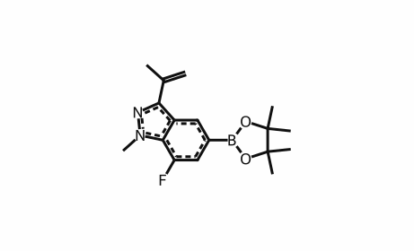 C=C(C)c1nn(C)c2c(F)cc(B3OC(C)(C)C(C)(C)O3)cc12